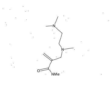 C=C(CN(C)CCN(C)C)C(=O)NC